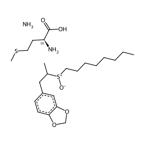 CCCCCCCC[S+]([O-])C(C)Cc1ccc2c(c1)OCO2.CSCC[C@H](N)C(=O)O.N